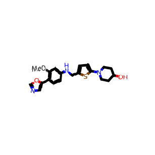 COc1cc(NCc2ccc(N3CCC(O)CC3)s2)ccc1-c1cnco1